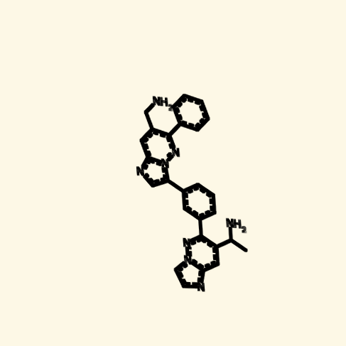 CC(N)c1cc2nccn2nc1-c1cccc(-c2cnc3cc(CN)c(-c4ccccc4)nn23)c1